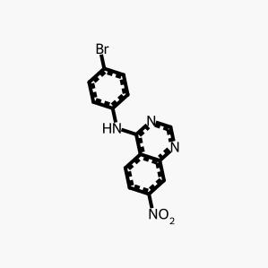 O=[N+]([O-])c1ccc2c(Nc3ccc(Br)cc3)ncnc2c1